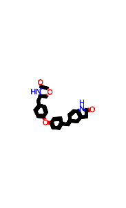 O=C1CC2=C(C=CC(=Cc3ccc(Oc4ccc(CC5COCC(=O)N5)cc4)cc3)C2)N1